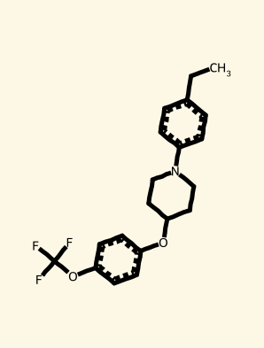 CCc1ccc(N2CCC(Oc3ccc(OC(F)(F)F)cc3)CC2)cc1